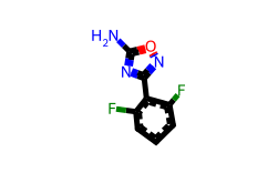 Nc1nc(-c2c(F)cccc2F)no1